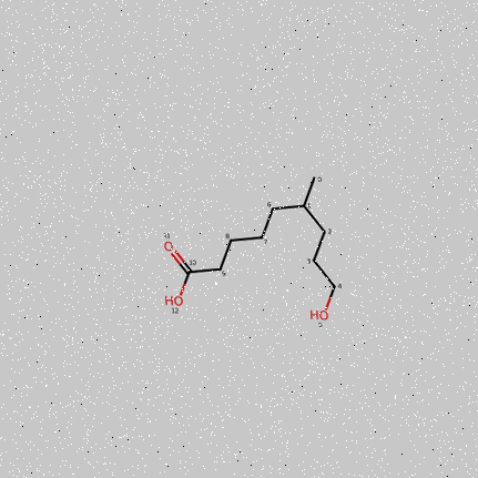 CC(CCCO)CCCCC(=O)O